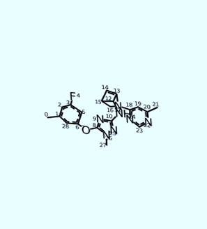 Cc1cc(F)cc(Oc2nc(NC3C4=CC3CN4c3cc(C)ncn3)nn2C)c1